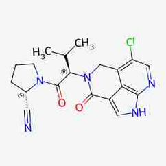 CC(C)[C@H](C(=O)N1CCC[C@H]1C#N)N1Cc2c(Cl)cnc3[nH]cc(c23)C1=O